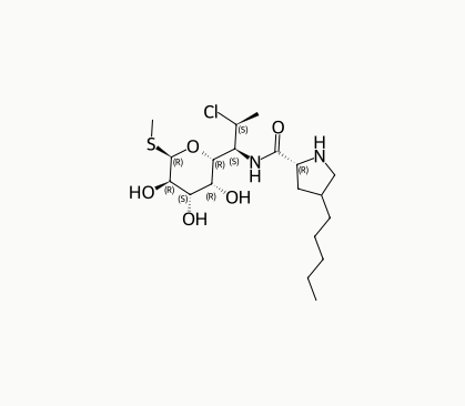 CCCCCC1CN[C@@H](C(=O)N[C@@H]([C@H]2O[C@H](SC)[C@H](O)[C@@H](O)[C@H]2O)[C@H](C)Cl)C1